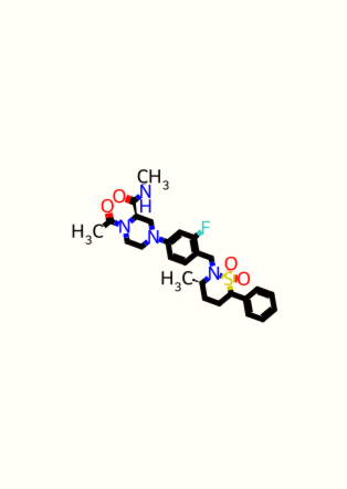 CNC(=O)[C@H]1CN(c2ccc(CN3[C@@H](C)CCC(c4ccccc4)S3(=O)=O)c(F)c2)CCN1C(C)=O